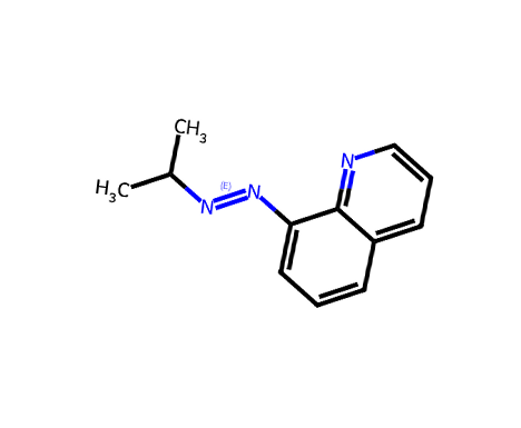 CC(C)/N=N/c1cccc2cccnc12